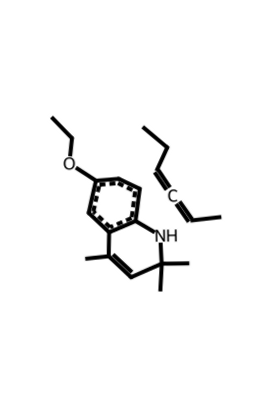 CC=C=CCC.CCOc1ccc2c(c1)C(C)=CC(C)(C)N2